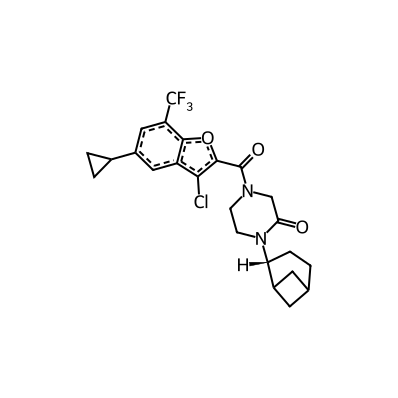 O=C(c1oc2c(C(F)(F)F)cc(C3CC3)cc2c1Cl)N1CCN([C@@H]2CCC3CC2C3)C(=O)C1